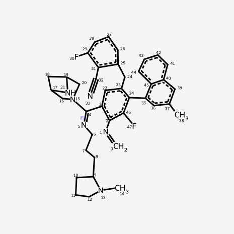 C=Nc1c(/C(=N\CCCC2CCCN2C)N2CC3CC(C2)N3)cc(Cc2cccc(F)c2C#N)c(-c2cc(C)cc3ccccc23)c1F